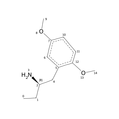 CC[C@@H](N)Cc1cc(OC)ccc1OC